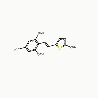 COc1cc(C)cc(OC)c1/C=C/c1ccc(C=O)s1